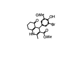 COC(=O)C1=C(C)NC2=C(C(=O)CCC2)C1c1cc(Br)c(O)c(OC)c1